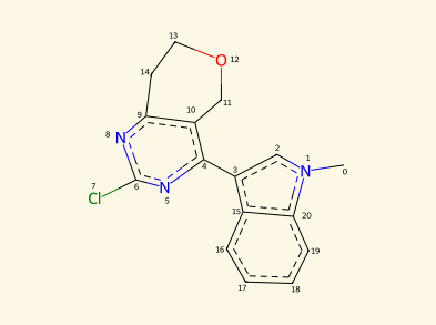 Cn1cc(-c2nc(Cl)nc3c2COCC3)c2ccccc21